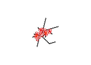 C=CCOC(=O)O[C@H](CCCCCCCCCCC)CCO[C@H]1C(OP(=O)(OCC=C)OCC=C)O[C@H](CO[C@@H]2O[C@H](COC)[C@@H](OP(=O)(OCC=C)OCC=C)[C@H](OCC[C@@H](CCCCCCC)OC)[C@H]2OCCCCCCCCCC/C=C\CCCCCC)[C@@H](OC(=O)OCC=C)[C@@H]1OCCCCCCCCCCCC